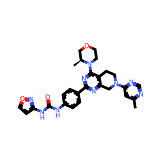 Cc1cc(N2CCc3c(nc(-c4ccc(NC(=O)Nc5ccon5)cc4)nc3N3CCOC[C@@H]3C)C2)ncn1